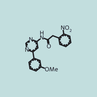 COc1cccc(-c2cc(NC(=O)Cc3ccccc3[N+](=O)[O-])ncn2)c1